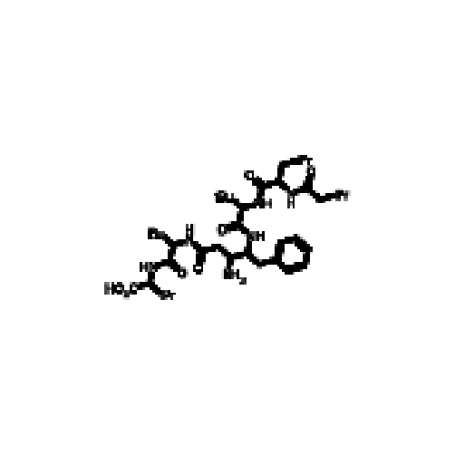 CCC(C)C(NC(=O)CC(N)C(Cc1ccccc1)NC(=O)C(NC(=O)C(CC(C)C)NC(=O)CC(C)C)C(C)(C)C)C(=O)NC(C(=O)O)C(C)C